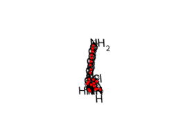 CCNC(=O)C[C@@H]1N=C(c2ccc(Cl)cc2)c2cc(OCCOCCOCCOCCOCCOCCOCCOCCN)ccc2N2C(C)NNC12